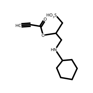 C#CC(=O)OC(CNC1CCCCC1)CS(=O)(=O)O